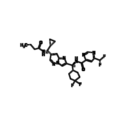 CCCC(=O)N[C@@H](c1cnn2cc([C@@H](NC(=O)c3cc(C(F)F)ncn3)C3CCC(F)(F)CC3)nc2c1)C1CC1